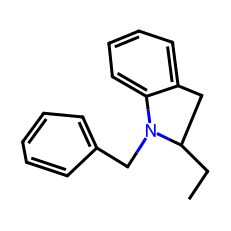 CCC1Cc2ccccc2N1Cc1ccccc1